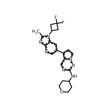 Cc1nc2ncc(-c3ccn4nc(NC5CCOCC5)ncc34)cc2n1C1CC(F)(F)C1